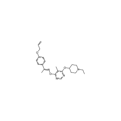 C=CCOc1ccc(C(C)=NOc2ncnc(OC3CCN(CC)CC3)c2C)cc1